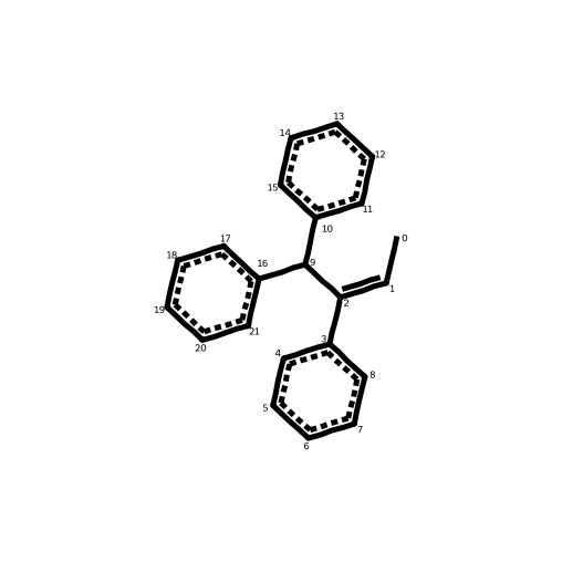 CC=C(c1ccccc1)C(c1ccccc1)c1ccccc1